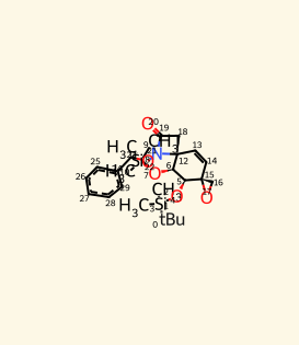 CC(C)(C)[Si](C)(C)O[C@H]1[C@@H](O[Si](C)(C)C)[C@]2(C=C[C@@]13CO3)CC(=O)N2OCc1ccccc1